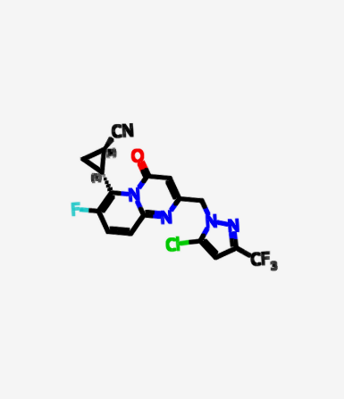 N#C[C@@H]1C[C@H]1c1c(F)ccc2nc(Cn3nc(C(F)(F)F)cc3Cl)cc(=O)n12